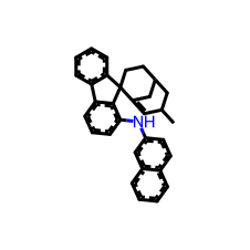 CC1C=C2CC(CCC23c2ccccc2-c2cccc(Nc4ccc5ccccc5c4)c23)C1